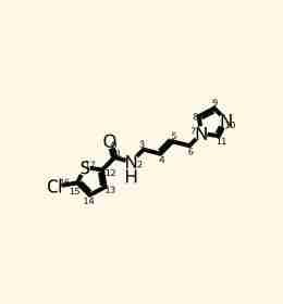 O=C(NCC=CCn1ccnc1)c1ccc(Cl)s1